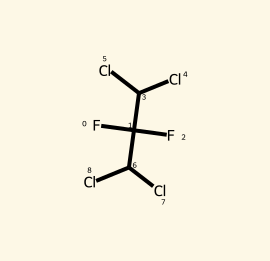 FC(F)(C(Cl)Cl)C(Cl)Cl